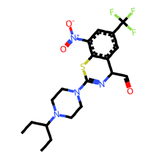 CCC(CC)N1CCN(C2=NC(C=O)c3cc(C(F)(F)F)cc([N+](=O)[O-])c3S2)CC1